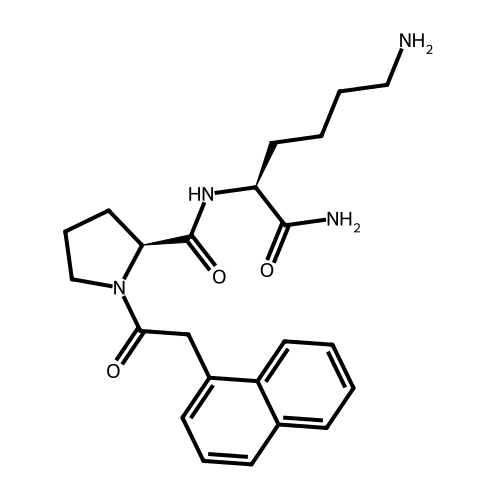 NCCCC[C@H](NC(=O)[C@@H]1CCCN1C(=O)Cc1cccc2ccccc12)C(N)=O